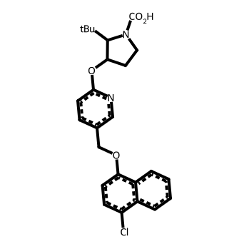 CC(C)(C)C1C(Oc2ccc(COc3ccc(Cl)c4ccccc34)cn2)CCN1C(=O)O